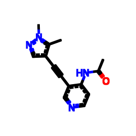 CC(=O)Nc1ccncc1C#Cc1cnn(C)c1C